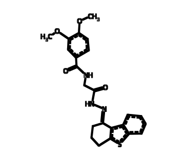 COc1ccc(C(=O)NCC(=O)N/N=C2\CCCc3sc4ccccc4c32)cc1OC